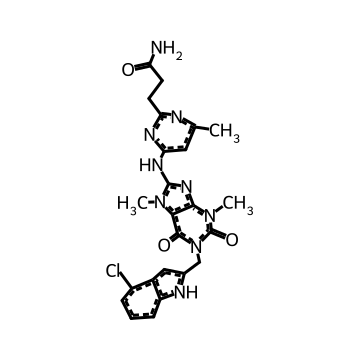 Cc1cc(Nc2nc3c(c(=O)n(Cc4cc5c(Cl)cccc5[nH]4)c(=O)n3C)n2C)nc(CCC(N)=O)n1